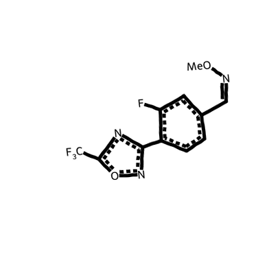 CO/N=C\c1ccc(-c2noc(C(F)(F)F)n2)c(F)c1